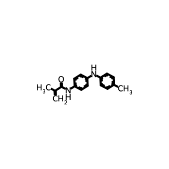 C=C(C)C(=O)Nc1ccc(Nc2ccc(C)cc2)cc1